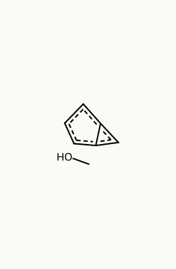 CO.c1cc2cc-2c1